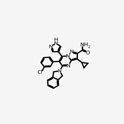 NC(=O)c1nn2c(-c3cn[nH]c3)c(-c3cccc(Cl)c3)c(N3Cc4ccccc4C3)nc2c1C1CC1